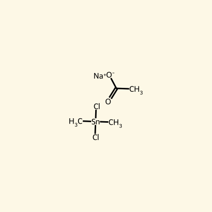 CC(=O)[O-].[CH3][Sn]([CH3])([Cl])[Cl].[Na+]